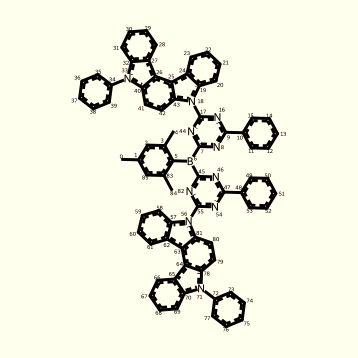 Cc1cc(C)c(B(c2nc(-c3ccccc3)nc(-n3c4ccccc4c4c5c6ccccc6n(-c6ccccc6)c5ccc43)n2)c2nc(-c3ccccc3)nc(-n3c4ccccc4c4c5c6ccccc6n(-c6ccccc6)c5ccc43)n2)c(C)c1